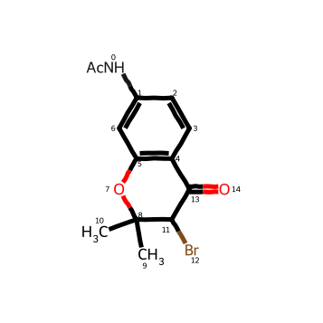 CC(=O)Nc1ccc2c(c1)OC(C)(C)C(Br)C2=O